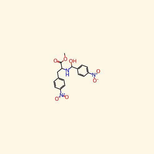 COC(=O)C(Cc1ccc([N+](=O)[O-])cc1)NC(O)c1ccc([N+](=O)[O-])cc1